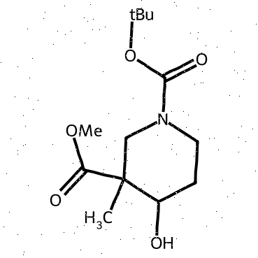 COC(=O)C1(C)CN(C(=O)OC(C)(C)C)CCC1O